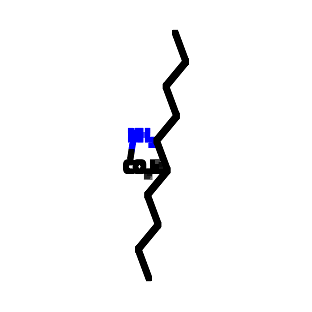 CCCCCCCCCC.CCOC(N)=O